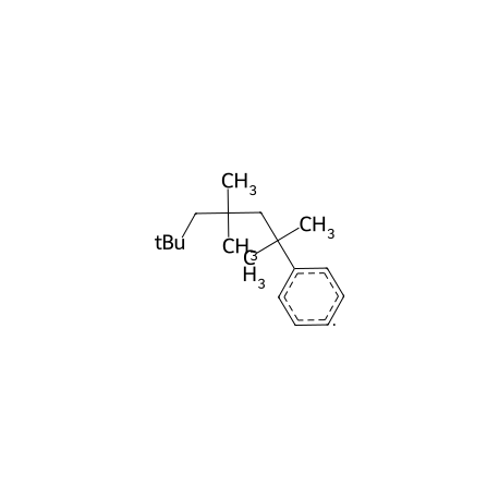 CC(C)(C)CC(C)(C)CC(C)(C)c1cc[c]cc1